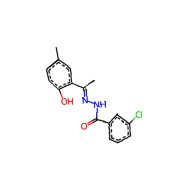 C/C(=N\NC(=O)c1cccc(Cl)c1)c1cc(C)ccc1O